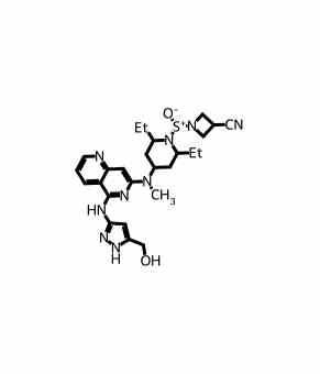 CCC1CC(N(C)c2cc3ncccc3c(Nc3cc(CO)[nH]n3)n2)CC(CC)N1[S+]([O-])N1CC(C#N)C1